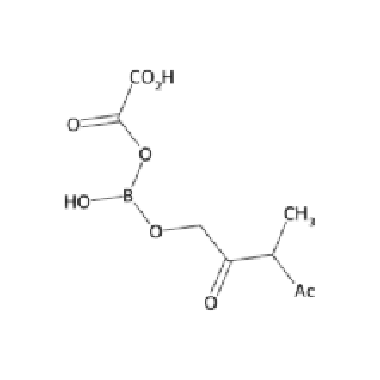 CC(=O)C(C)C(=O)COB(O)OC(=O)C(=O)O